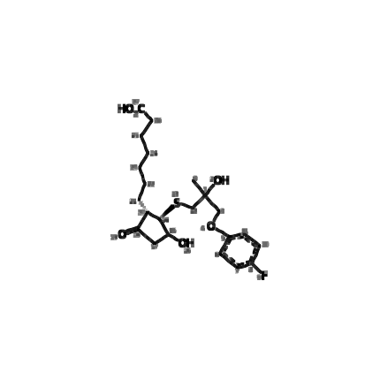 CC(O)(COc1ccc(F)cc1)CS[C@H]1C(O)CC(=O)[C@@H]1CCCCCCC(=O)O